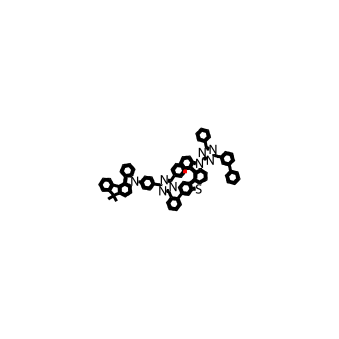 CC1(C)c2ccccc2-c2c1ccc1c2c2ccccc2n1-c1ccc(-c2nc(-c3ccccc3)nc(-c3ccccc3-c3ccc4c(c3)sc3ccc5c(c6ccccc6n5-c5nc(-c6ccccc6)nc(-c6cccc(-c7ccccc7)c6)n5)c34)n2)cc1